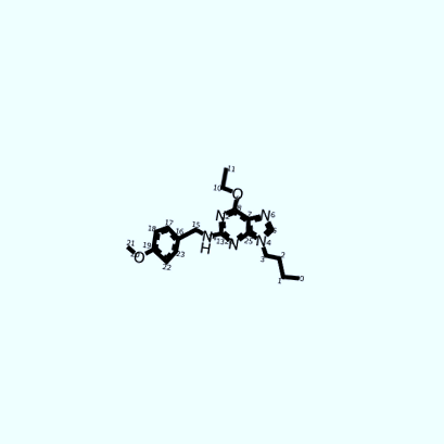 CCCCn1cnc2c(OCC)nc(NCc3ccc(OC)cc3)nc21